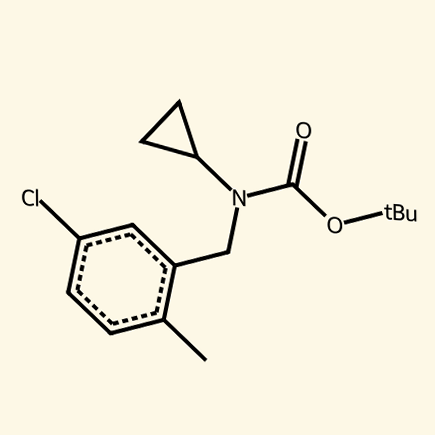 Cc1ccc(Cl)cc1CN(C(=O)OC(C)(C)C)C1CC1